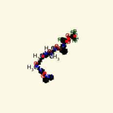 CN(CCN1CCC(OC(=O)Nc2ccccc2-c2ccccc2)CC1)C(=O)CCCCCN(C)c1ccc(C(=O)N(C)CCCN(C)C(=O)CO[C@H]2Cc3ccccc3C23CCN(CC[C@@]2(c4ccc(F)cc4)CN(C(=O)c4cc(C(F)(F)F)cc(C(F)(F)F)c4)CO2)CC3)nc1